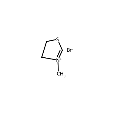 C[N+]1=CSCC1.[Br-]